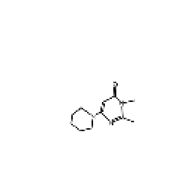 Cc1nc(N2CCCCC2)cc(=O)n1C